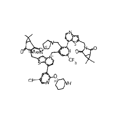 CN[C@H]1CCN(Cc2c(C[n+]3ccc(-c4cc(Cl)cnc4O[C@H]4CCCNC4)c4sc(CN5C(=O)C6C(C5=O)C6(C)C)cc43)cc(C(F)(F)F)nc2-c2ccnc3cc(CN4C(=O)C5C(C4=O)C5(C)C)sc23)C1